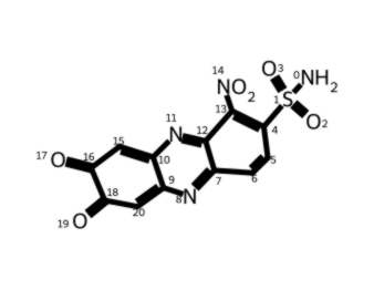 NS(=O)(=O)c1ccc2nc3c(nc2c1[N+](=O)[O-])=CC(=O)C(=O)C=3